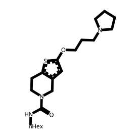 CCCCCCNC(=O)N1CCc2sc(OCCCN3CCCC3)cc2C1